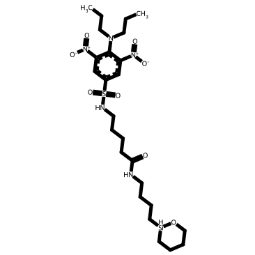 CCCN(CCC)c1c([N+](=O)[O-])cc(S(=O)(=O)NCCCCC(=O)NCCCC[SiH]2CCCCO2)cc1[N+](=O)[O-]